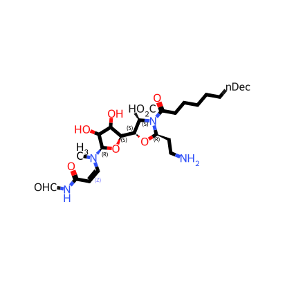 CCCCCCCCCCCCCCCC(=O)N1[C@H](C(=O)O)[C@@H]([C@H]2O[C@@H](N(C)/C=C\C(=O)NC=O)C(O)C2O)O[C@@H]1CCN